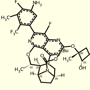 Cc1c(F)c(N)cc(-c2nc3c4c(nc(O[C@]5(C)CC[C@@H]5O)nc4c2F)N2C[C@H]4CC[C@@H]([C@H]2[C@H](C)O3)N4C(=O)OC(C)(C)C)c1C(F)(F)F